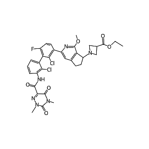 CCOC(=O)C1CN(C2CCc3cc(-c4ccc(F)c(-c5cccc(NC(=O)c6nn(C)c(=O)n(C)c6=O)c5Cl)c4Cl)nc(OC)c32)C1